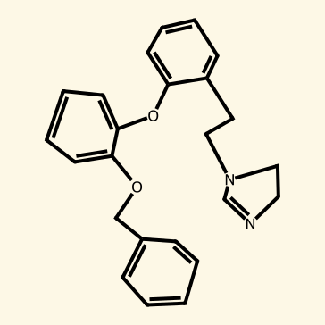 C1=NCCN1CCc1ccccc1Oc1ccccc1OCc1ccccc1